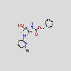 O=C(N[C@@H]1CN(c2cccc(Br)n2)C[C@H]1O)OCc1ccccc1